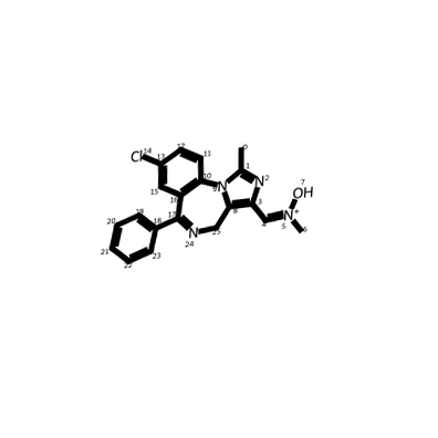 Cc1nc(C=[N+](C)O)c2n1-c1ccc(Cl)cc1C(c1ccccc1)=NC2